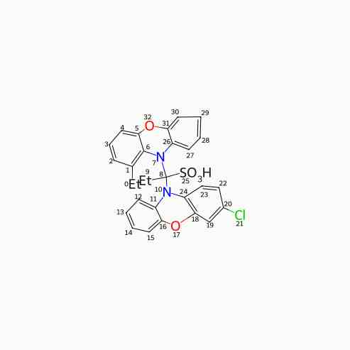 CCc1cccc2c1N(C(CC)(N1c3ccccc3Oc3cc(Cl)ccc31)S(=O)(=O)O)c1ccccc1O2